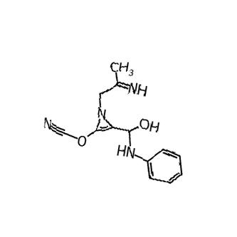 CC(=N)CN1C(OC#N)=C1C(O)Nc1ccccc1